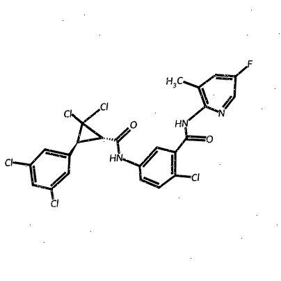 Cc1cc(F)cnc1NC(=O)c1cc(NC(=O)[C@@H]2[C@@H](c3cc(Cl)cc(Cl)c3)C2(Cl)Cl)ccc1Cl